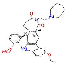 CCOc1ccc2[nH]c3c(c2c1)C[C@@]1(C)C(=O)N(CCN2CCCCCC2)C(=O)CCC1[C@@H]3c1cccc(O)c1